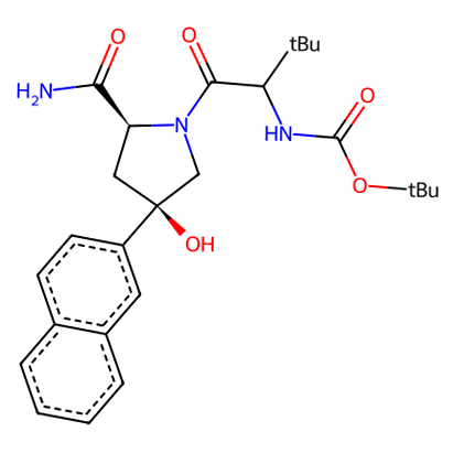 CC(C)(C)OC(=O)NC(C(=O)N1C[C@](O)(c2ccc3ccccc3c2)C[C@H]1C(N)=O)C(C)(C)C